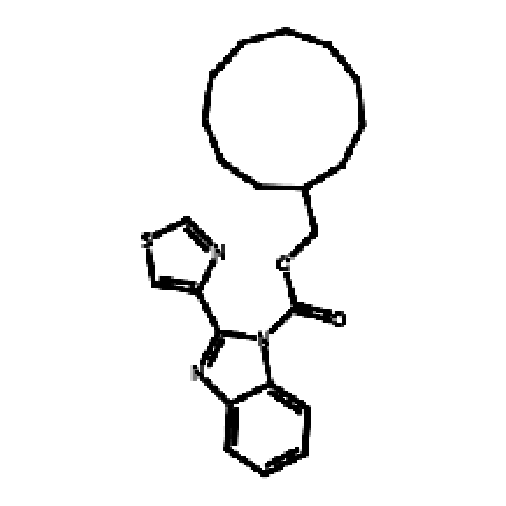 O=C(OCC1CCCCCCCCCC1)n1c(-c2cscn2)nc2ccccc21